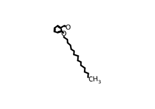 CCCCCCCCCCCCCCCCOc1ccccc1C=O